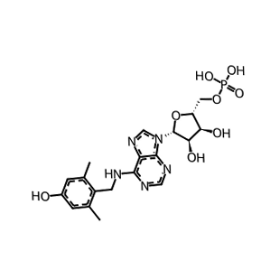 Cc1cc(O)cc(C)c1CNc1ncnc2c1ncn2[C@@H]1O[C@H](COP(=O)(O)O)[C@@H](O)[C@H]1O